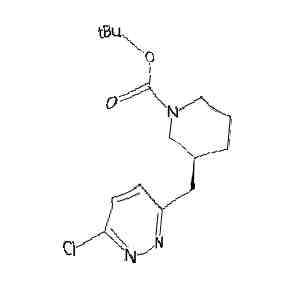 CC(C)(C)OC(=O)N1CCC[C@@H](Cc2ccc(Cl)nn2)C1